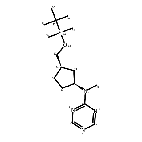 CN(c1ncncn1)[C@H]1CC[C@@H](CO[Si](C)(C)C(C)(C)C)C1